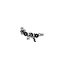 CCCCN(c1ccnc(Nc2ccc(S(=O)(=O)NC)cc2)n1)c1ccc(O)cc1C